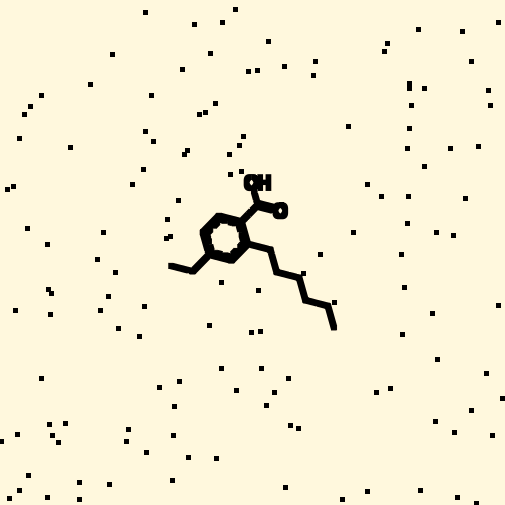 CCCCCCc1cc(CC)ccc1C(=O)O